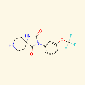 O=C1NC2(CCNCC2)C(=O)N1c1cccc(OC(F)(F)F)c1